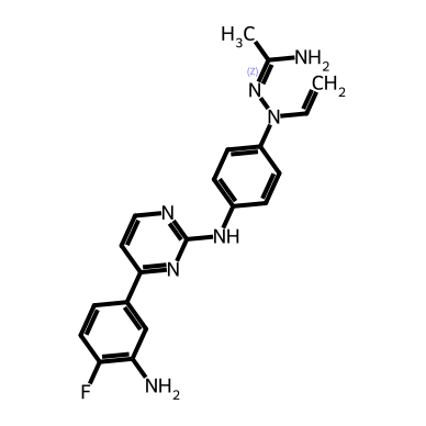 C=CN(/N=C(/C)N)c1ccc(Nc2nccc(-c3ccc(F)c(N)c3)n2)cc1